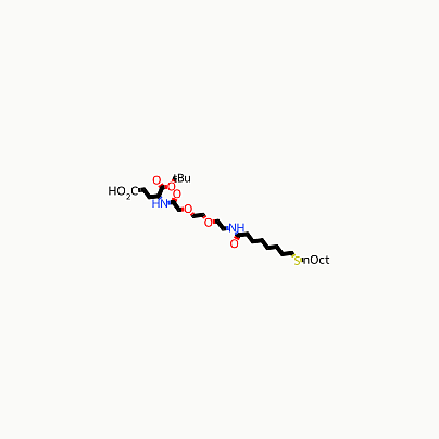 CCCCCCCCSCCCCCCCC(=O)NCCOCCOCC(=O)NC(CCC(=O)O)C(=O)OC(C)(C)C